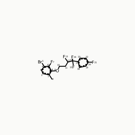 Cc1ccc(Br)c(F)c1OCCC(F)C(F)(F)c1ccc(F)cc1